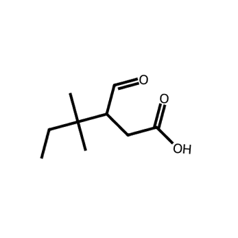 CCC(C)(C)C(C=O)CC(=O)O